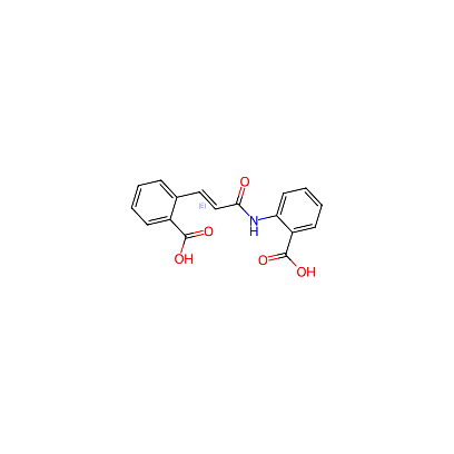 O=C(/C=C/c1ccccc1C(=O)O)Nc1ccccc1C(=O)O